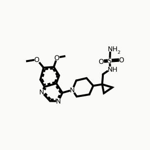 COc1cc2ncnc(N3CCC(C4(CNS(N)(=O)=O)CC4)CC3)c2cc1OC